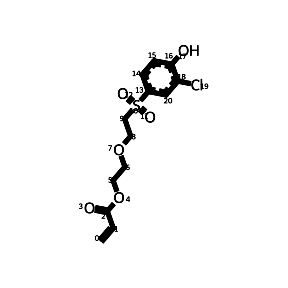 C=CC(=O)OCCOCCS(=O)(=O)c1ccc(O)c(Cl)c1